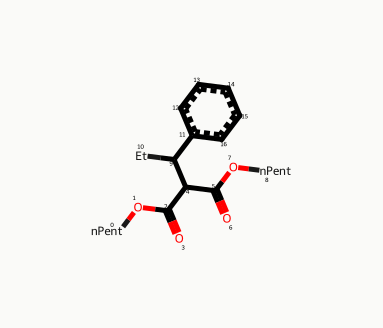 CCCCCOC(=O)C(C(=O)OCCCCC)C(CC)c1ccccc1